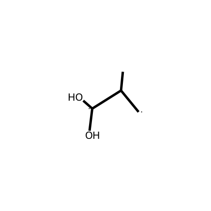 [CH2]C(C)[C](O)O